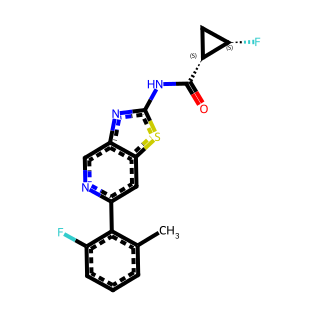 Cc1cccc(F)c1-c1cc2sc(NC(=O)[C@@H]3C[C@@H]3F)nc2cn1